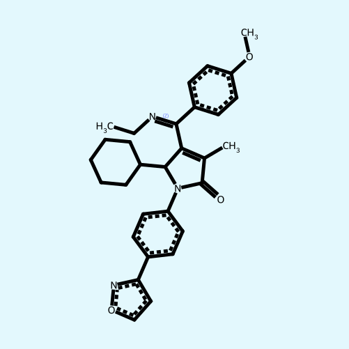 CC/N=C(\C1=C(C)C(=O)N(c2ccc(-c3ccon3)cc2)C1C1CCCCC1)c1ccc(OC)cc1